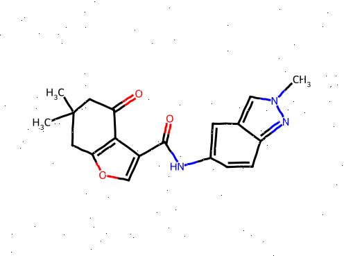 Cn1cc2cc(NC(=O)c3coc4c3C(=O)CC(C)(C)C4)ccc2n1